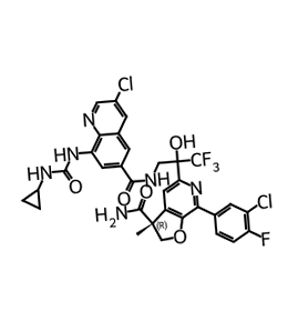 C[C@]1(C(N)=O)COc2c1cc(C(O)(CNC(=O)c1cc(NC(=O)NC3CC3)c3ncc(Cl)cc3c1)C(F)(F)F)nc2-c1ccc(F)c(Cl)c1